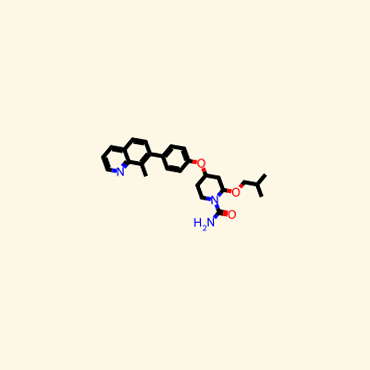 Cc1c(-c2ccc(OC3CCN(C(N)=O)C(OCC(C)C)C3)cc2)ccc2cccnc12